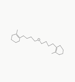 CC1=C(CCCCOCCCCC2=C(C)CCCC2)CCCC1